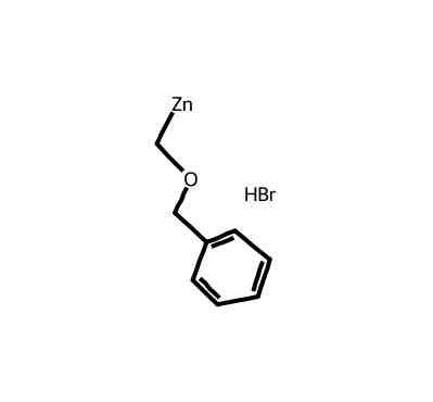 Br.[Zn][CH2]OCc1ccccc1